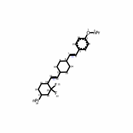 CCCOc1ccc(/C=C/C2CCC(/C=C/C3CCC(CCC)CC3(F)F)CC2)cc1